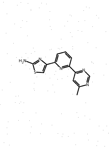 Cc1cc(-c2cccc(-c3csc(N)n3)n2)ncn1